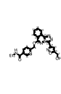 CCNC(=O)c1ccc(COc2nn3c(-c4cc(CO)on4)nnc3c3ccccc23)nc1